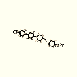 CCC[C@H]1CC[C@H](CCC2CCC(c3ccc(-c4ccc(Cl)cc4)c(F)c3)CC2)CC1